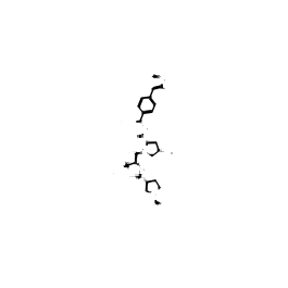 Cc1ncsc1-c1ccc(C(C)NC(=O)[C@@H]2C[C@@H](O)CN2C(=O)C(NC(=O)[C@@H]2CCN(C(=O)O)C2)C(C)(C)C)cc1